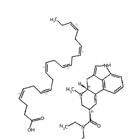 CC/C=C\C/C=C\C/C=C\C/C=C\C/C=C\C/C=C\CCC(=O)O.CCN(CC)C(=O)[C@@H]1C=C2c3cccc4[nH]cc(c34)C[C@H]2N(C)C1